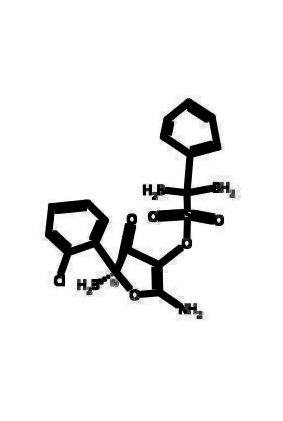 BC(B)(c1ccccc1)S(=O)(=O)OC1=C(N)O[C@@](B)(c2ccccc2Cl)C1=O